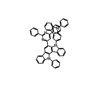 c1ccc(-c2cc(-c3cc4c5ccccc5n(-c5ccccc5)c4c4c5ccccc5n(-c5ccc6c(c5)c5ccccc5n6-c5ccccc5)c34)nc(-c3ccccc3)n2)cc1